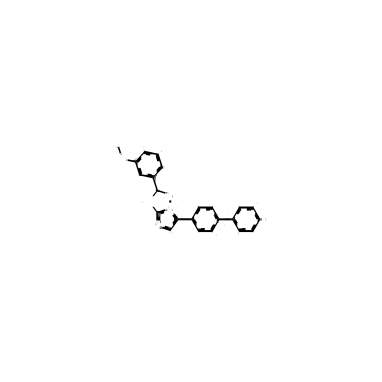 COc1cccc(C2Nn3c(-c4ccc(-c5ccccc5)cc4)cnc3S2)c1